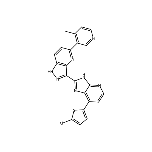 Cc1ccncc1-c1ccc2[nH]nc(-c3nc4c(-c5ccc(Cl)s5)ccnc4[nH]3)c2n1